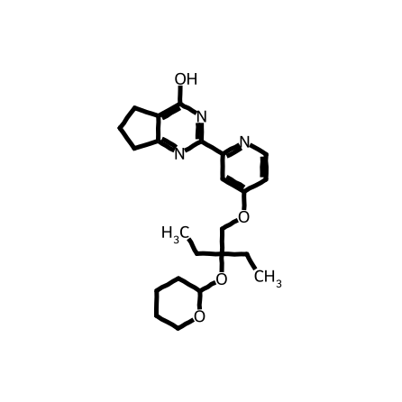 CCC(CC)(COc1ccnc(-c2nc(O)c3c(n2)CCC3)c1)OC1CCCCO1